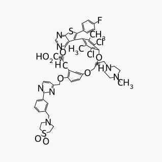 Cc1c(Cl)c2c(Cl)c(C)c1-c1c(-c3ccc(F)cc3)sc3ncnc(c13)O[C@@H](C(=O)O)Cc1cc(ccc1OCc1ccnc(-c3cccc(CN4CCS(=O)(=O)CC4)c3)n1)OC[C@@H](CN1CCN(C)CC1)O2